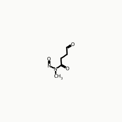 CN(N=O)C(=O)CCC=O